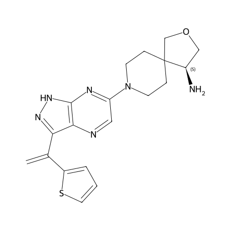 C=C(c1cccs1)c1n[nH]c2nc(N3CCC4(CC3)COC[C@H]4N)cnc12